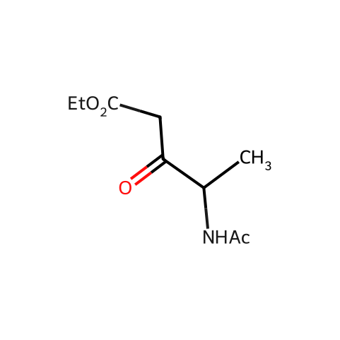 CCOC(=O)CC(=O)C(C)NC(C)=O